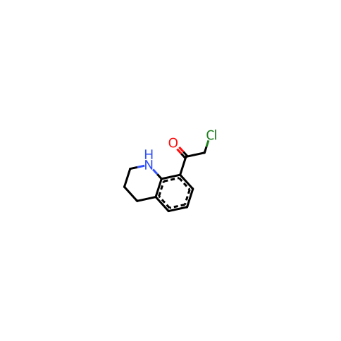 O=C(CCl)c1cccc2c1NCCC2